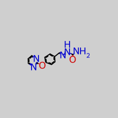 NC(=O)NN=Cc1ccc(Oc2ncccn2)cc1